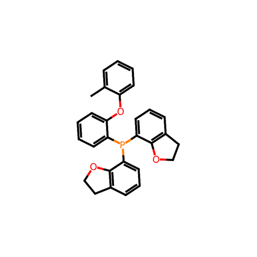 Cc1ccccc1Oc1ccccc1P(c1cccc2c1OCC2)c1cccc2c1OCC2